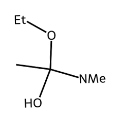 CCOC(C)(O)NC